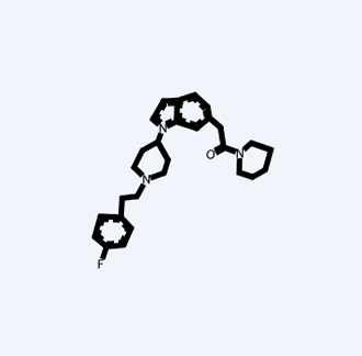 O=C(Cc1ccc2ccn(C3CCN(CCc4ccc(F)cc4)CC3)c2c1)N1CCCCC1